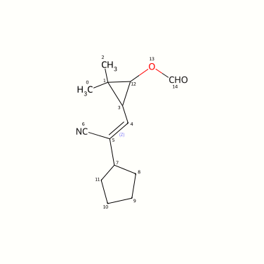 CC1(C)C(/C=C(\C#N)C2CCCC2)C1OC=O